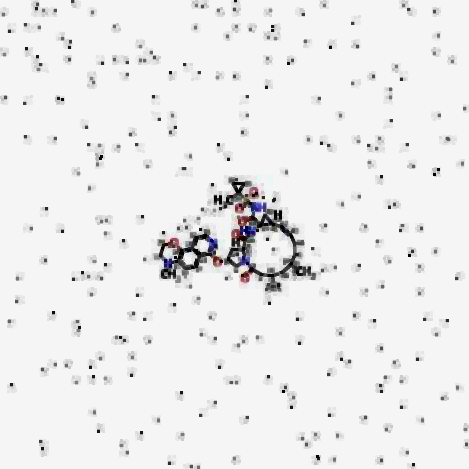 CC[C@H]1CC(=O)N2C[C@H](Oc3nccc4c5c(ccc34)N(C)CCO5)C[C@H]2C(=O)N[C@]2(C(=O)NS(=O)(=O)C3(C)CC3)C[C@H]2/C=C\CC[C@@H](C)C1